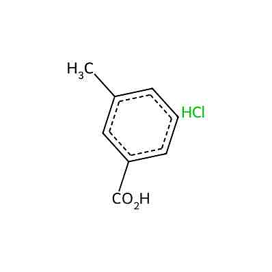 Cc1cccc(C(=O)O)c1.Cl